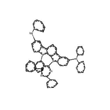 c1ccc(Nc2ccc3c(c2)c2ccc4c5cc(N(c6ccccc6)c6ccccc6)ccc5n(-c5nc(-c6ccccc6)nc(-c6ccccc6)n5)c4c2n3-c2ccccc2)cc1